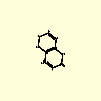 C1=CC2=C(CC1)N=C[N]C2